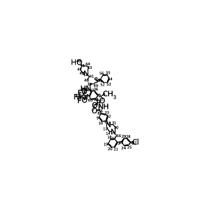 CCOP(=O)(NC(=O)c1ccc(N2CCN(Cc3ccccc3-c3ccc(Cl)cc3)CC2)cc1)c1ccc(N[C@H](CCN2CCC(O)CC2)CSc2ccccc2)c(S(=O)(=O)C(F)(F)F)c1